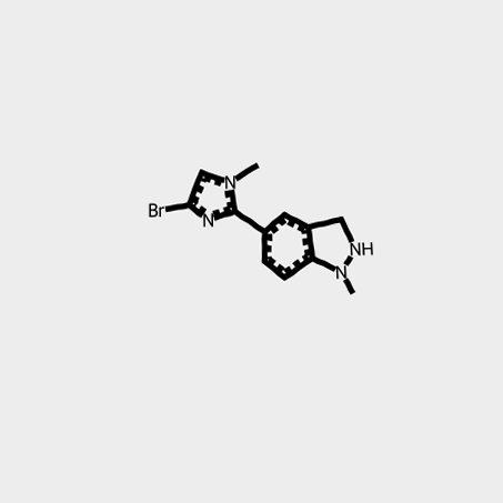 CN1NCc2cc(-c3nc(Br)cn3C)ccc21